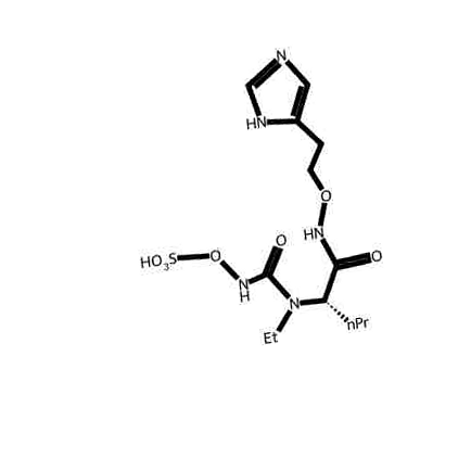 CCC[C@@H](C(=O)NOCCc1cnc[nH]1)N(CC)C(=O)NOS(=O)(=O)O